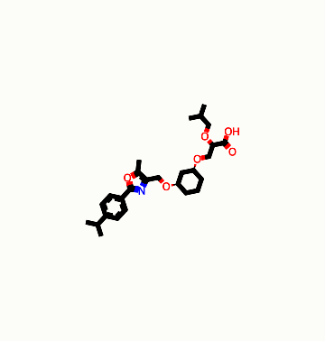 Cc1oc(-c2ccc(C(C)C)cc2)nc1CO[C@H]1CCC[C@@H](OCC(OCC(C)C)C(=O)O)C1